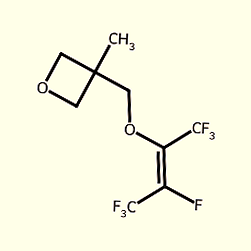 CC1(CO/C(=C(/F)C(F)(F)F)C(F)(F)F)COC1